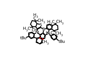 Cc1cc2c3c(c1)N(c1ccc(C(C)(C)C)cc1)c1c(ccc4c1C(C)(C)CCC4(C)C)B3C1=C(C3C(S1)C(C)(C)CCC3(C)C)N2c1ccc(C(C)(C)C)cc1-c1ccccc1